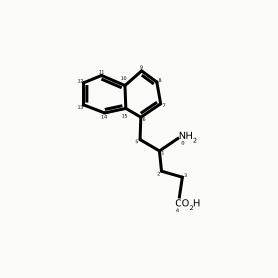 NC(CCC(=O)O)Cc1cccc2ccccc12